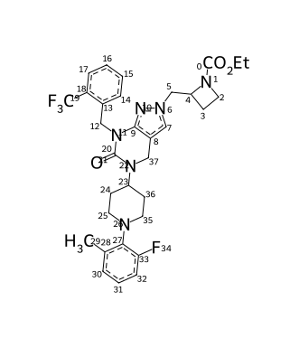 CCOC(=O)N1CCC1Cn1cc2c(n1)N(Cc1ccccc1C(F)(F)F)C(=O)N(C1CCN(c3c(C)cccc3F)CC1)C2